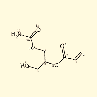 C=CC(=O)OC(CO)COC(N)=O